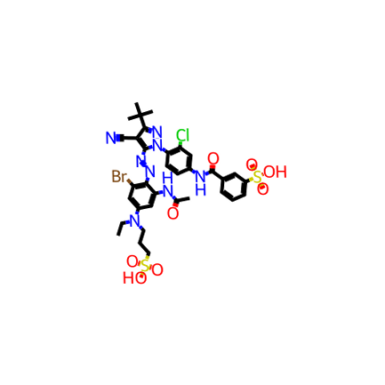 CCN(CCCS(=O)(=O)O)c1cc(Br)c(/N=N/c2c(C#N)c(C(C)(C)C)nn2-c2ccc(NC(=O)c3cccc(S(=O)(=O)O)c3)cc2Cl)c(NC(C)=O)c1